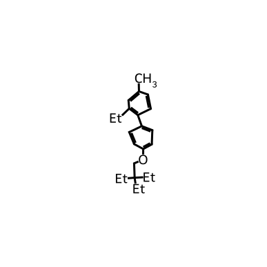 CCc1cc(C)ccc1-c1ccc(OCC(CC)(CC)CC)cc1